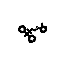 Cc1ccccc1SCCC(C)(C)C(C)(c1ccccc1)c1ccccc1